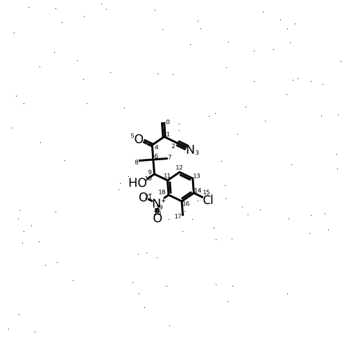 C=C(C#N)C(=O)C(C)(C)C(O)c1ccc(Cl)c(C)c1[N+](=O)[O-]